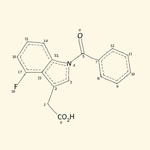 O=C(O)Cc1cn(C(=O)c2ccccc2)c2cccc(F)c12